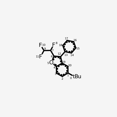 CC(C)(C)c1ccc2oc(C(F)C(F)F)c(-c3ccccc3)c2c1